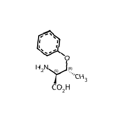 C[C@@H](Oc1ccccc1)[C@H](N)C(=O)O